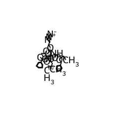 CC[C@@H](C)CC(=O)O[C@@H]1C(NC(=O)C[C@@H](CC)OCc2ccccc2)[C@@H](OCCN=[N+]=[N-])OC2COC(c3ccccc3)O[C@H]21